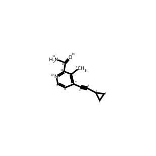 Cc1c(C#CC2CC2)ccnc1C(N)=O